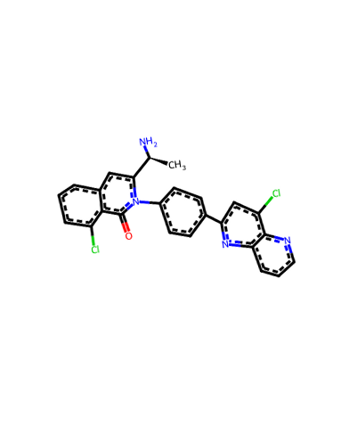 C[C@H](N)c1cc2cccc(Cl)c2c(=O)n1-c1ccc(-c2cc(Cl)c3ncccc3n2)cc1